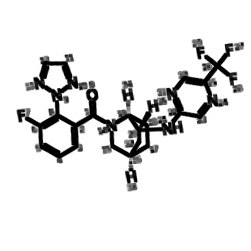 O=C(c1cccc(F)c1-n1nccn1)N1C[C@@H]2CC[C@H]1[C@H](Nc1cnc(C(F)(F)F)cn1)C2